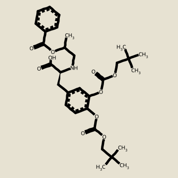 CC(CN[C@@H](Cc1ccc(OC(=O)OCC(C)(C)C)c(OC(=O)OCC(C)(C)C)c1)C(=O)O)OC(=O)c1ccccc1